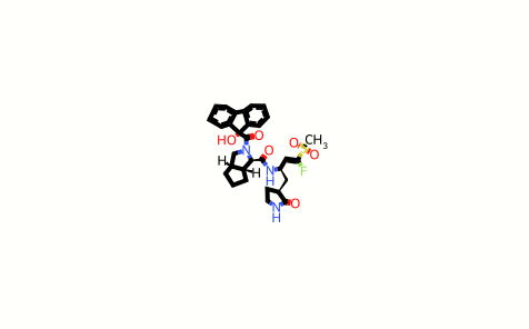 CS(=O)(=O)/C(F)=C/[C@@H](C[C@@H]1CCNC1=O)NC(=O)[C@H]1[C@@H]2CCC[C@@H]2CN1C(=O)C1(O)c2ccccc2-c2ccccc21